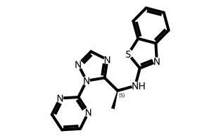 C[C@H](Nc1nc2ccccc2s1)c1ncnn1-c1ncccn1